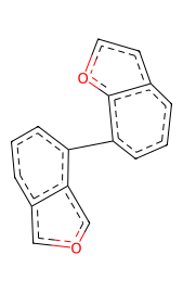 c1cc(-c2cccc3ccoc23)c2cocc2c1